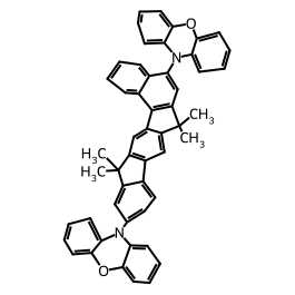 CC1(C)c2cc(N3c4ccccc4Oc4ccccc43)ccc2-c2cc3c(cc21)-c1c(cc(N2c4ccccc4Oc4ccccc42)c2ccccc12)C3(C)C